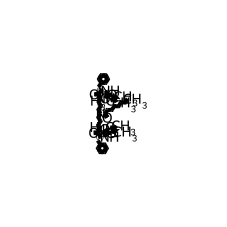 CCCCCCCC(=O)N(CCCNC(=O)[C@@H](Cc1ccccc1)NC(=O)OC(C)(C)C)CCCNC(=O)[C@@H](Cc1ccccc1)NC(=O)OC(C)(C)C